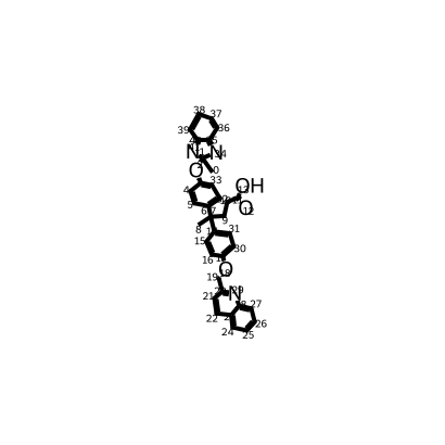 CC1(Oc2ccc(C(C)(CCC(=O)O)c3ccc(OCc4ccc5ccccc5n4)cc3)cc2)N=c2ccccc2=N1